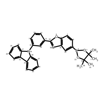 CC1(C)OB(c2ccc3oc(-c4cccc(-n5c6ccccc6c6ccccc65)c4)nc3c2)OC1(C)C